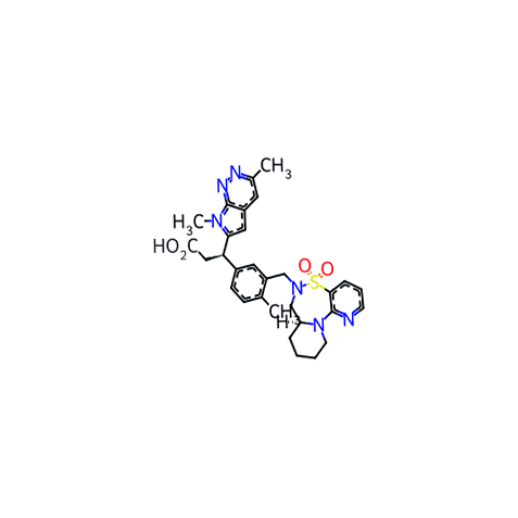 Cc1cc2cc([C@H](CC(=O)O)c3ccc(C)c(CN4C[C@@H]5CCCCN5c5ncccc5S4(=O)=O)c3)n(C)c2nn1